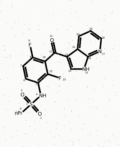 CCCS(=O)(=O)Nc1ccc(F)c(C(=O)c2c[nH]c3ncccc23)c1F